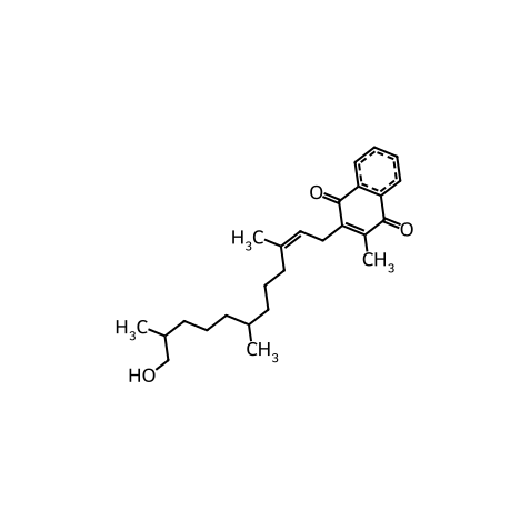 CC(=CCC1=C(C)C(=O)c2ccccc2C1=O)CCCC(C)CCCC(C)CO